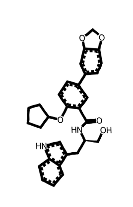 O=C(N[C@@H](CO)Cc1c[nH]c2ccccc12)c1cc(-c2ccc3c(c2)OCO3)ccc1OC1CCCC1